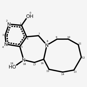 Oc1ncnc2c1CN1CCCCCCCC1CN2O